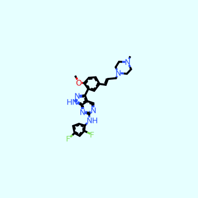 COc1ccc(/C=C/CN2CCN(C)CC2)cc1-c1n[nH]c2nc(Nc3ccc(F)cc3F)ncc12